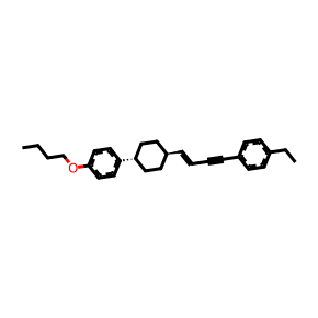 CCCCOc1ccc([C@H]2CC[C@H](C=CC#Cc3ccc(CC)cc3)CC2)cc1